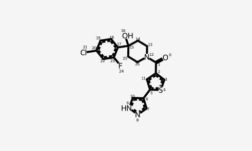 O=C(c1csc(-c2cn[nH]c2)c1)N1CCC(O)(c2ccc(Cl)cc2F)CC1